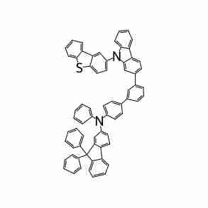 c1ccc(N(c2ccc(-c3cccc(-c4ccc5c6ccccc6n(-c6ccc7sc8ccccc8c7c6)c5c4)c3)cc2)c2ccc3c(c2)C(c2ccccc2)(c2ccccc2)c2ccccc2-3)cc1